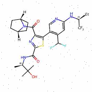 CC[C@H](Nc1cc(C(F)F)c(-c2sc(C(=O)N[C@H](C)C(C)(C)O)nc2C(=O)N2[C@H]3CC[C@@H]2CC3)cn1)C(F)(F)F